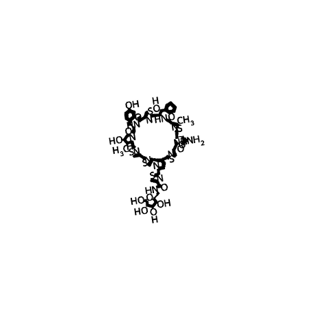 Cc1sc2nc1C(=O)N[C@@H]([C@H](O)c1ccccc1)c1nc(cs1)C(=O)N[C@@H](Cc1ccc(O)cc1)C(=O)N1C[C@H](O)[C@H](C)[C@H]1c1nc(cs1)-c1nc(cs1)-c1nc(-c3nc(C(=O)NC[C@@H]4OC(O)[C@@H](O)[C@H](O)[C@H]4O)cs3)ccc1-c1nc(cs1)C(=O)N[C@H]2CC(N)=O